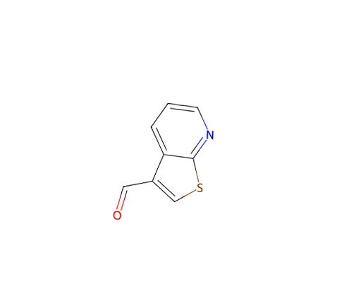 O=Cc1csc2ncccc12